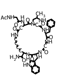 CC(=O)NCC(=O)NC1CC(=O)NCCCCC(C(N)=O)NC(=O)[C@H](Cc2c[nH]c3ccccc23)NC(=O)CNC(=O)C(Cc2ccccc2)NC(=O)CN(CC(C)N)C1=O